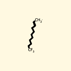 [CH2]C=CCCCCCCCC(F)(F)F